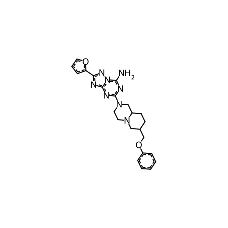 Nc1nc(N2CCN3CC(COc4ccccc4)CCC3C2)nc2nc(-c3ccco3)nn12